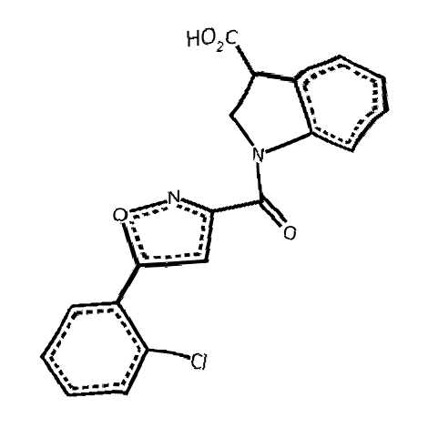 O=C(O)C1CN(C(=O)c2cc(-c3ccccc3Cl)on2)c2ccccc21